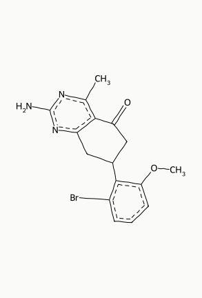 COc1cccc(Br)c1C1CC(=O)c2c(C)nc(N)nc2C1